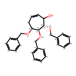 OC1C=CC[C@H](OCc2ccccc2)[C@H](OCc2ccccc2)[C@H]1OCc1ccccc1